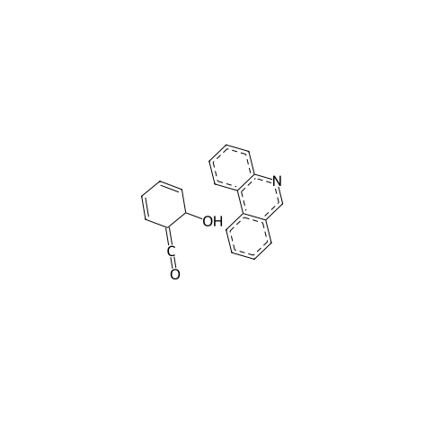 O=C=C1C=CC=CC1O.c1ccc2c(c1)cnc1ccccc12